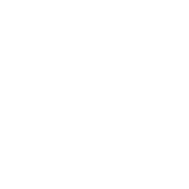 O=[C]C1OC([C]=O)C([C]=O)C1[C]=O